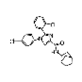 O=C(NC1CC2CCC1C2)c1cn(-c2ccc(Cl)cc2)c(-c2ccccc2Cl)n1